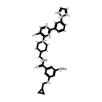 COc1cc(OCC2CC2)cc(C(=O)NCC2CCN(c3nc(-c4cccc(-n5nccn5)c4)ncc3F)CC2)c1